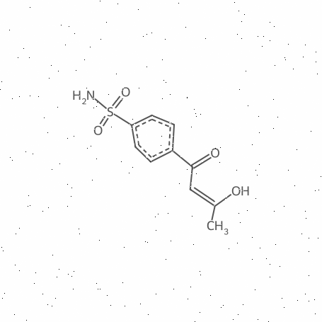 C/C(O)=C/C(=O)c1ccc(S(N)(=O)=O)cc1